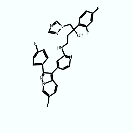 O[C@@](CCNc1cc(-c2c(-c3ccc(F)cc3)nn3cc(F)ccc23)ccn1)(Cn1cncn1)c1ccc(F)cc1F